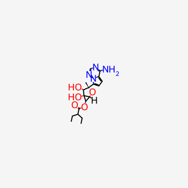 CCC(CC)C(=O)OC1[C@H]2O[C@@](C)(c3ccc4c(N)ncnn34)[C@H](O)[C@@]12O